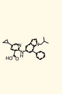 CC(C)Cn1ccc2cc(Nc3ncc(C4CC4)cc3C(=O)O)cc(-c3ccccc3)c21